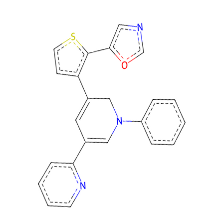 C1=C(c2ccccn2)C=C(c2ccsc2-c2cnco2)CN1c1ccccc1